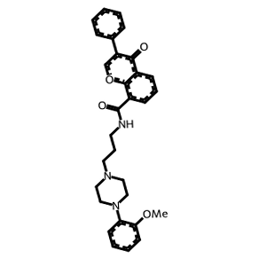 COc1ccccc1N1CCN(CCCNC(=O)c2cccc3c(=O)c(-c4ccccc4)coc23)CC1